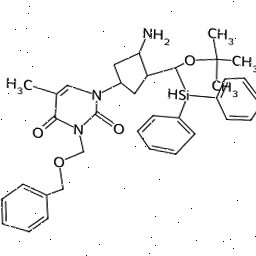 Cc1cn(C2CC(N)C(C(OC(C)(C)C)[SiH](c3ccccc3)c3ccccc3)C2)c(=O)n(COCc2ccccc2)c1=O